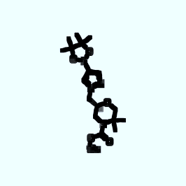 CC(C)(C)OC(=O)N1C[C@@H](Cn2cc(B3OC(C)(C)C(C)(C)O3)cn2)OCC1(C)C